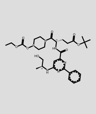 CCOC(=O)ON1CCN(C(=O)[C@H](CCC(=O)OC(C)(C)C)NC(=O)c2cc(N[C@@H](C)CO)nc(-c3ccccc3)n2)CC1